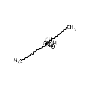 CCCCCCCCCCCCCCCCCC(=O)N1CC(=O)NC1(CC)CCCCCCCCCCCCCC